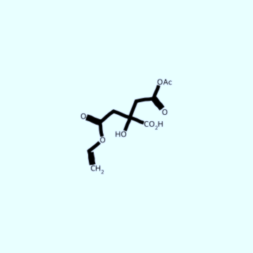 C=COC(=O)CC(O)(CC(=O)OC(C)=O)C(=O)O